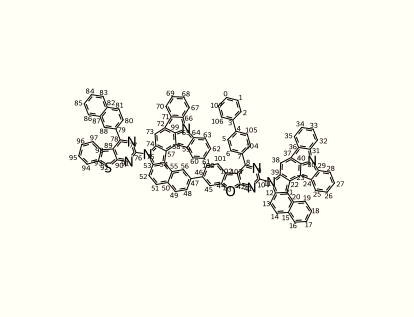 c1ccc(-c2ccc(-c3nc(-n4c5ccc6ccccc6c5c5c6c7ccccc7n7c8ccccc8c(cc54)c67)nc4oc5cc(-c6ccc7ccc8c(c7c6)c6c7c9ccccc9n9c%10ccccc%10c(cc6n8-c6nc(-c8ccc%10ccccc%10c8)c8c(n6)sc6ccccc68)c79)ccc5c34)cc2)cc1